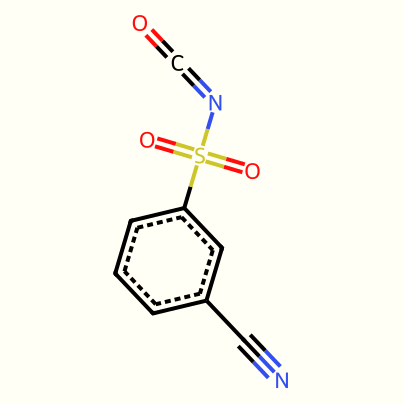 N#Cc1cccc(S(=O)(=O)N=C=O)c1